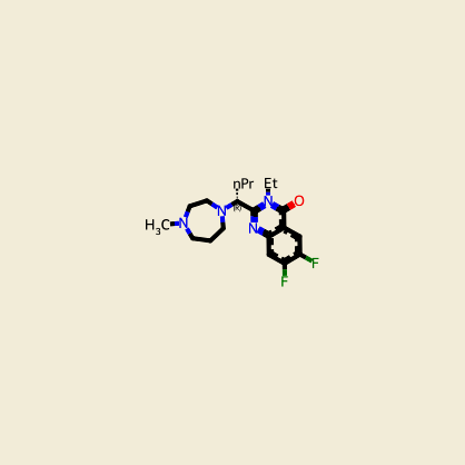 CCC[C@H](c1nc2cc(F)c(F)cc2c(=O)n1CC)N1CCCN(C)CC1